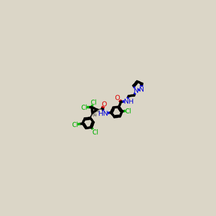 O=C(NCCn1cccn1)c1cc(NC(=O)[C@@H]2[C@@H](c3cc(Cl)cc(Cl)c3)C2(Cl)Cl)ccc1Cl